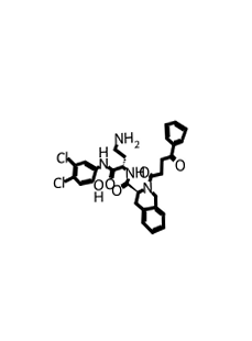 NCC[C@H](NC(=O)[C@@H]1Cc2ccccc2CN1C(=O)CCC(=O)c1ccccc1)C(=O)Nc1cc(Cl)c(Cl)cc1O